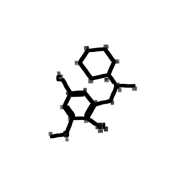 COc1cc(Cl)cc(CN(C)C2CCCCC2)c1N